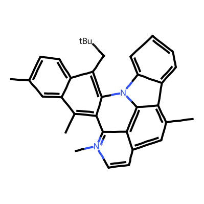 Cc1ccc2c(CC(C)(C)C)c3c(c(C)c2c1)c1c2c(cc[n+]1C)cc(C)c1c4ccccc4n3c12